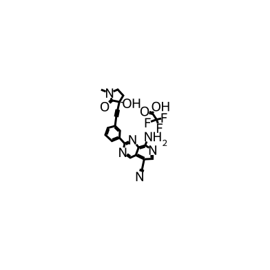 CN1CC[C@@](O)(C#Cc2cccc(-c3ncc4c(C#N)cnc(N)c4n3)c2)C1=O.O=C(O)C(F)(F)F